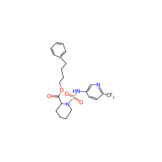 O=C(OCCCCc1ccccc1)C1CCCCN1S(=O)(=O)Nc1ccc(C(F)(F)F)nc1